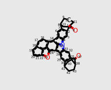 O=C1c2cc3c(cc2C2CCC1CC2)c1c2ccc4cccc5oc(c2c45)c2c4cc5c(cc4n3c12)C(=O)C1CCC5CC1